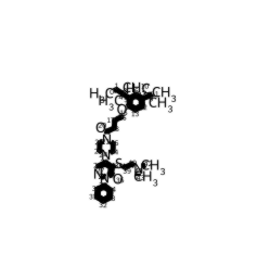 CCC(C)(C)c1cc(C(C)(C)C)ccc1OCCCC(=O)N1CCN(c2cnn(-c3ccccc3)c(=O)c2SCCN(C)C)CC1